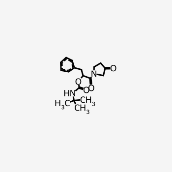 CC(C)(C)NC(=O)OC(Cc1ccccc1)C(=O)N1CCC(=O)C1